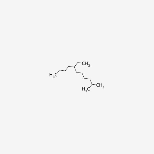 CCCCC(CC)CC[CH]CC(C)C